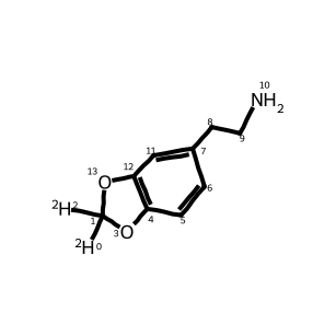 [2H]C1([2H])Oc2ccc(CCN)cc2O1